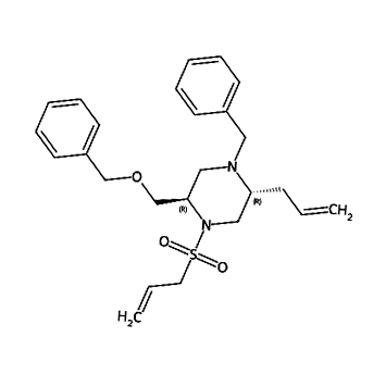 C=CC[C@@H]1CN(S(=O)(=O)CC=C)[C@@H](COCc2ccccc2)CN1Cc1ccccc1